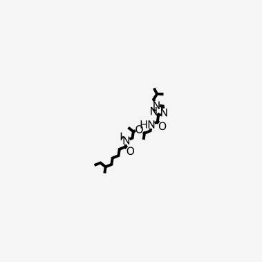 CCC(C)CCCCC(=O)N(I)CC(C)OC(C)CNC(=O)c1ncn(CC(C)C)n1